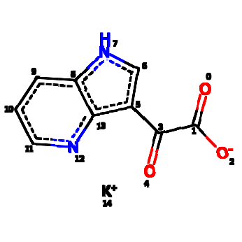 O=C([O-])C(=O)c1c[nH]c2cccnc12.[K+]